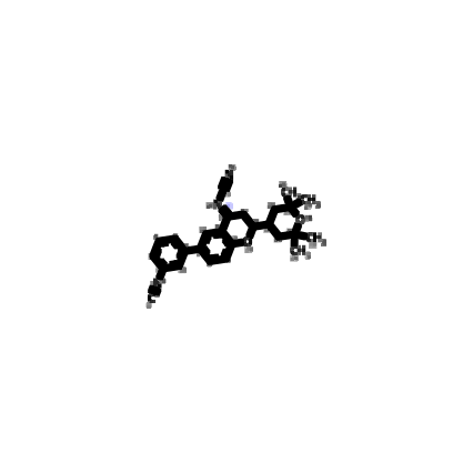 [C-]#[N+]c1cccc(-c2ccc3c(c2)/C(=N/C#N)CC(C2CC(C)(C)OC(C)(C)C2)O3)c1